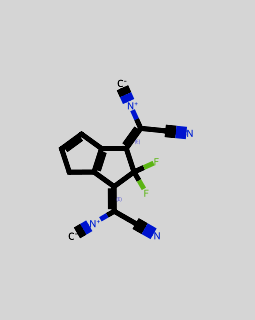 [C-]#[N+]/C(C#N)=C1C2=C(CC=C2)/C(=C(/C#N)[N+]#[C-])C\1(F)F